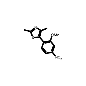 COc1cc([N+](=O)[O-])ccc1-c1sc(C)nc1C